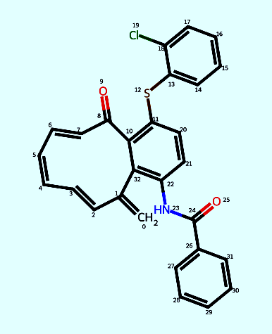 C=C1/C=C/C=C\C=C\C(=O)c2c(Sc3ccccc3Cl)ccc(NC(=O)c3ccccc3)c21